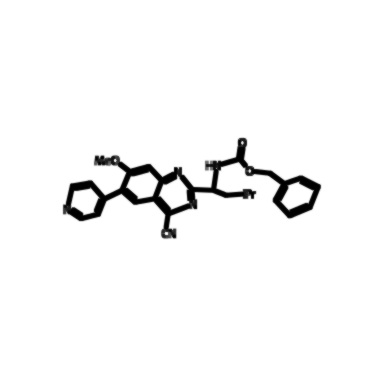 COc1cc2nc(C(CC(C)C)NC(=O)OCc3ccccc3)nc(C#N)c2cc1-c1ccncc1